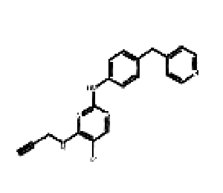 C#CCNc1nc(Nc2ccc(Cc3ccncc3)cc2)ncc1Br